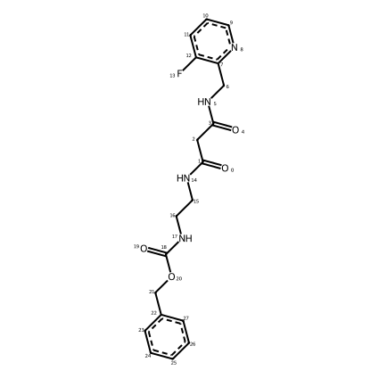 O=C(CC(=O)NCc1ncccc1F)NCCNC(=O)OCc1ccccc1